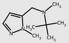 CN(Cc1ccnn1C)C(C)(C)C